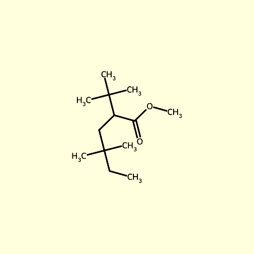 CCC(C)(C)CC(C(=O)OC)C(C)(C)C